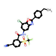 CCc1ccc(-c2nc3cc(NC(=O)c4cc(C#N)ccc4S(=O)(=O)C(F)(F)F)cc(Cl)c3o2)cc1